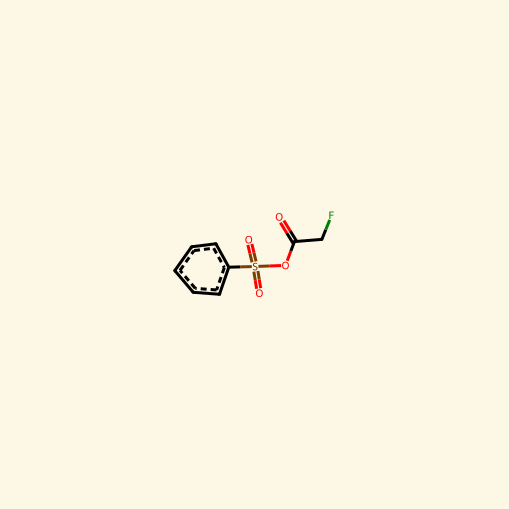 O=C(CF)OS(=O)(=O)c1ccccc1